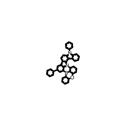 c1ccc(-c2cc3c4c(c2)c2ccc5c(c6ccccc6n5-c5ccccc5)c2n4-c2cccc4c2B3c2ccccc2O4)cc1